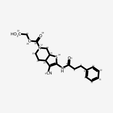 N#CC1=C(NC(=O)CCc2ccccc2)SC2CN(C(=O)OCC(=O)O)CCC12